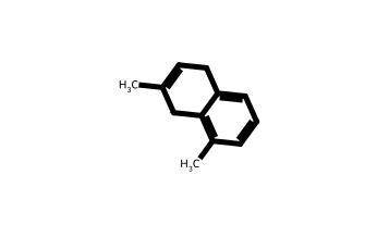 CC1=CCc2cccc(C)c2[CH]1